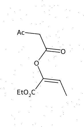 CC=C(OC(=O)CC(C)=O)C(=O)OCC